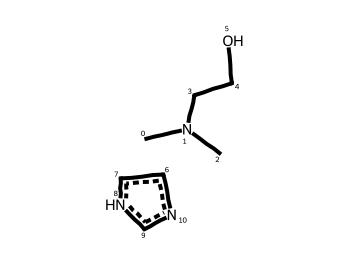 CN(C)CCO.c1c[nH]cn1